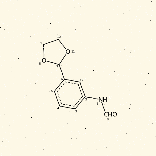 O=CNc1cccc(C2OCCO2)c1